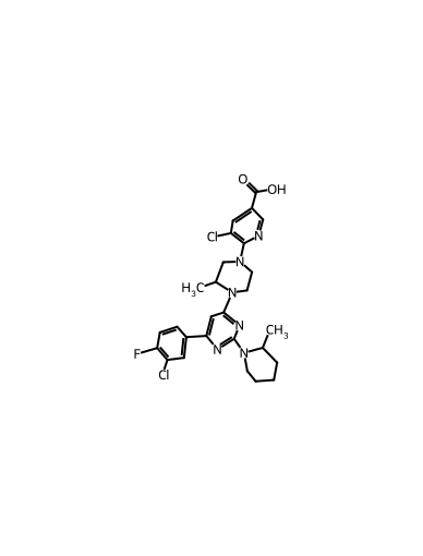 CC1CN(c2ncc(C(=O)O)cc2Cl)CCN1c1cc(-c2ccc(F)c(Cl)c2)nc(N2CCCCC2C)n1